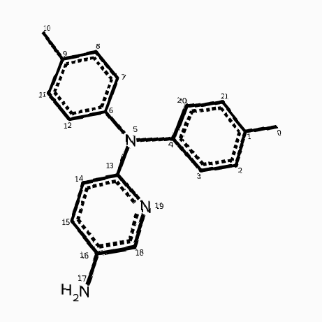 Cc1ccc(N(c2ccc(C)cc2)c2ccc(N)cn2)cc1